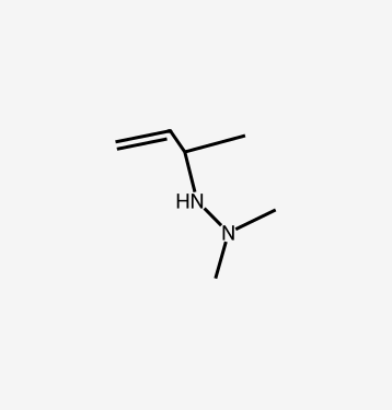 C=CC(C)NN(C)C